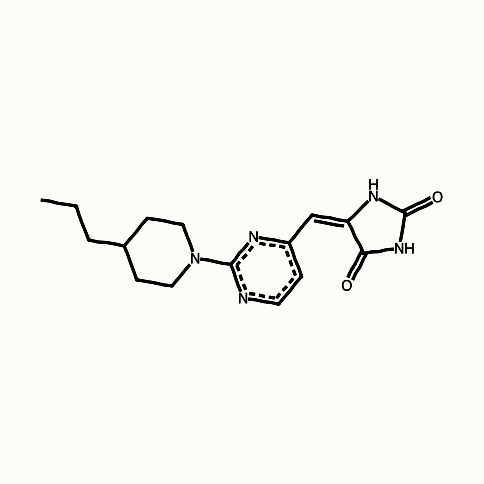 CCCC1CCN(c2nccc(/C=C3/NC(=O)NC3=O)n2)CC1